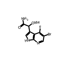 COC(C(N)=O)c1c[nH]c2ncc(Br)c(F)c12